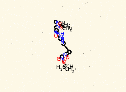 CN1CCC[C@@H]1c1cc2cnc(NC(=O)c3ccc(N4CCC(C#Cc5cccc6c5CN(C5CCC(=O)N(COCC[Si](C)(C)C)C5=O)C6=O)CC4)nn3)cc2n1C(=O)OC(C)(C)C